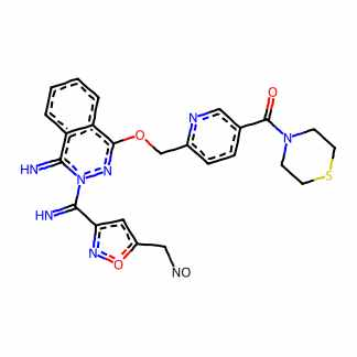 N=C(c1cc(CN=O)on1)n1nc(OCc2ccc(C(=O)N3CCSCC3)cn2)c2ccccc2c1=N